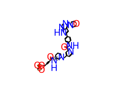 CS(=O)(=O)OCC#CC(=O)N[C@@H]1CCCN(Cc2ccnc(C(=O)Nc3ccc(-c4cc5c(N6CCOCC6)ncnc5[nH]4)cc3)c2)C1